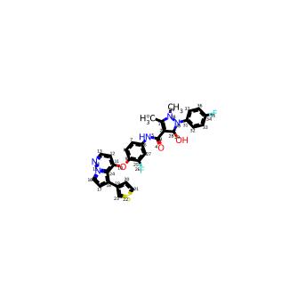 CC1=C(C(=O)Nc2ccc(Oc3ccnn4ccc(-c5ccsc5)c34)c(F)c2)C(O)N(c2ccc(F)cc2)N1C